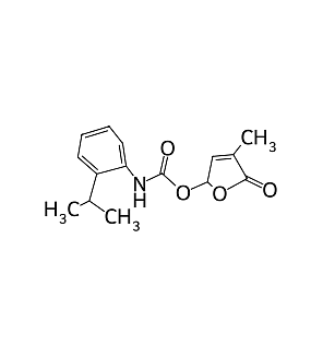 CC1=CC(OC(=O)Nc2ccccc2C(C)C)OC1=O